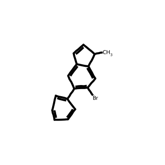 CC1C=Cc2cc(-c3ccccc3)c(Br)cc21